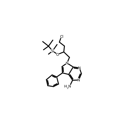 CC(C)(C)[Si](C)(C)OC(CCCl)Cn1cc(-c2ccccc2)c2c(N)ncnc21